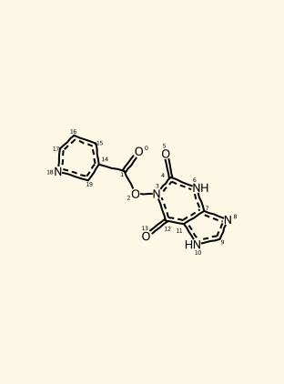 O=C(On1c(=O)[nH]c2nc[nH]c2c1=O)c1cccnc1